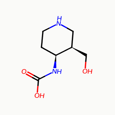 O=C(O)N[C@H]1CCNC[C@H]1CO